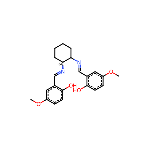 COc1ccc(O)c(C=NC2CCCC[C@@H]2N=Cc2cc(OC)ccc2O)c1